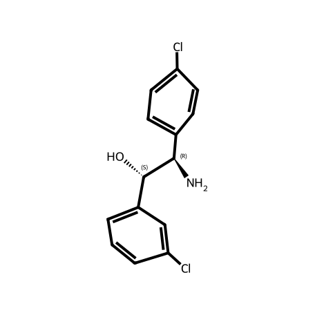 N[C@H](c1ccc(Cl)cc1)[C@@H](O)c1cccc(Cl)c1